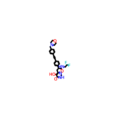 O=C(NCC(F)F)C(Cc1nc[nH]c(=O)c1O)c1ccc(C#Cc2ccc(CN3CCOCC3)cc2)cc1